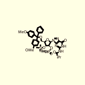 COc1ccc(C(OC[C@H]2O[C@@H](n3cnc4c(=O)[nH]c(NC(=O)C(C)C)nc43)[C@@H](O[PH](=O)O)[C@@H]2O[Si](C)(C)C(C)(C)C)(c2ccccc2)c2ccc(OC)cc2)cc1